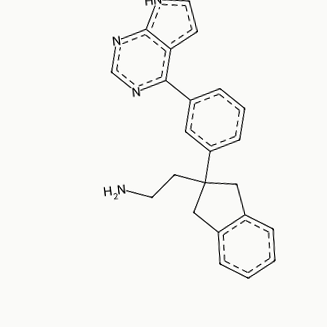 NCCC1(c2cccc(-c3ncnc4[nH]ccc34)c2)Cc2ccccc2C1